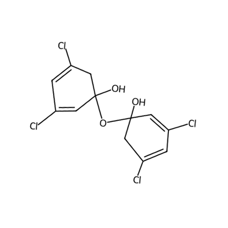 OC1(OC2(O)C=C(Cl)C=C(Cl)C2)C=C(Cl)C=C(Cl)C1